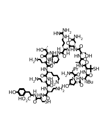 CC[C@H](C)[C@H](NC(=O)[C@@H]1C[C@@H](O)CN1C(=O)[C@@H](N)C(C)C)C(=O)N[C@H](C(=O)N[C@@H](C)C(=O)N[C@@H](CO)C(=O)N[C@@H](CC(N)=O)C(=O)N[C@@H](CCCNC(=N)N)C(=O)N[C@@H](CCN)C(=O)N[C@H](C(=O)N[C@H](CCN)C(=O)N[C@@H](CCCCN)C(=O)N[C@@H](CCN)C(=O)N[C@@H](CCN)C(=O)N[C@@H](CS)C(=O)N[C@@H](Cc1ccc(O)cc1)C(=O)O)[C@@H](C)O)C(C)(C)S